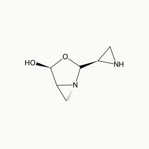 O[C@H]1OC([C@H]2CN2)[N@]2CC12